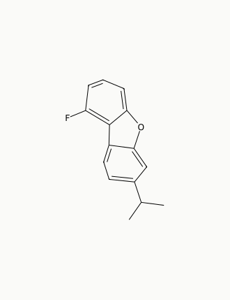 CC(C)c1ccc2c(c1)oc1cccc(F)c12